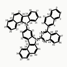 c1ccc2cc(-c3nc(-n4c5cc(-n6c7ccccc7c7ccc8ccccc8c76)ccc5c5c6ccccc6ccc54)nc4ccccc34)ccc2c1